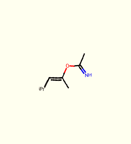 CC(=N)O/C(C)=C/C(C)C